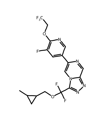 CC1CC1COC(F)(F)c1nnc2cnc(-c3cnc(OCC(F)(F)F)c(F)c3)cn12